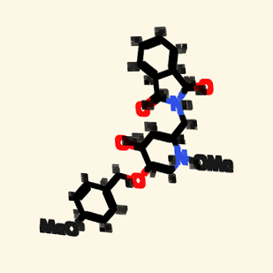 COc1ccc(COc2cn(OC)c(CN3C(=O)c4ccccc4C3=O)cc2=O)cc1